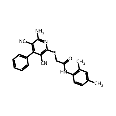 Cc1ccc(NC(=O)CSc2nc(N)c(C#N)c(-c3ccccc3)c2C#N)c(C)c1